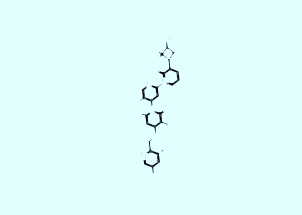 Cc1cnc(-n2cccc(C3CC(O)C3(C)C)c2=O)cc1-n1c(C)cc(OCc2ncc(F)cc2F)c(Cl)c1=O